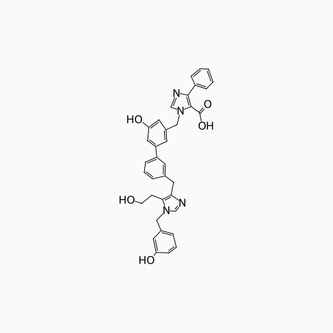 O=C(O)c1c(-c2ccccc2)ncn1Cc1cc(O)cc(-c2cccc(Cc3ncn(Cc4cccc(O)c4)c3CCO)c2)c1